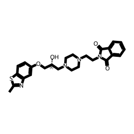 Cc1nc2cc(OC[C@H](O)CN3CCN(CCN4C(=O)c5ccccc5C4=O)CC3)ccc2s1